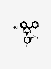 C[C@H]1CNCCN1c1nc(-c2ccccc2)c2ccccc2n1.Cl